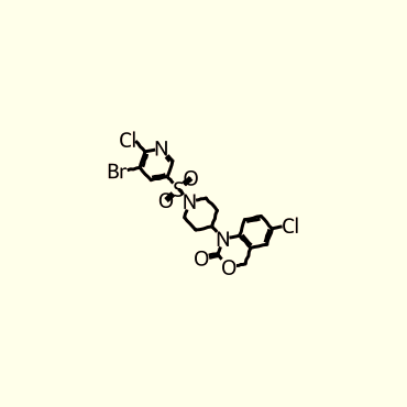 O=C1OCc2cc(Cl)ccc2N1C1CCN(S(=O)(=O)c2cnc(Cl)c(Br)c2)CC1